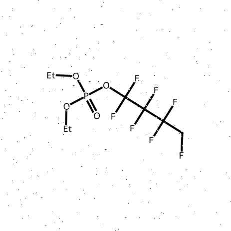 CCOP(=O)(OCC)OC(F)(F)C(F)(F)C(F)(F)CF